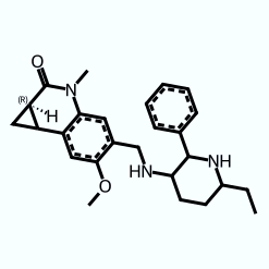 CCC1CCC(NCc2cc3c(cc2OC)C2C[C@H]2C(=O)N3C)C(c2ccccc2)N1